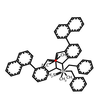 CC1=Cc2c(-c3cccc4ccccc34)cccc2[CH]1[Zr]([CH3])([CH3])(=[SiH2])([CH2]c1ccccc1)([CH2]c1ccccc1)[CH]1C(C)=Cc2c(-c3cccc4ccccc34)cccc21